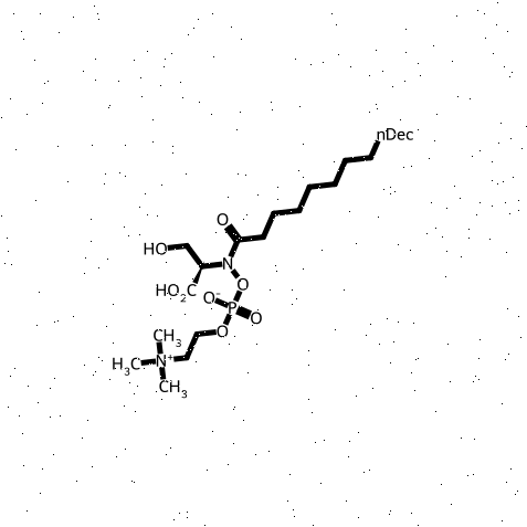 CCCCCCCCCCCCCCCCCC(=O)N(OP(=O)([O-])OCC[N+](C)(C)C)[C@H](CO)C(=O)O